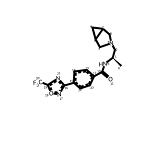 C[C@H](CN1CC2CC2C1)NC(=O)c1ccc(-c2noc(C(F)(F)F)n2)cc1